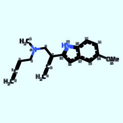 C=C=CCN(C)CC(=C=C)c1cc2cc(OC)ccc2[nH]1